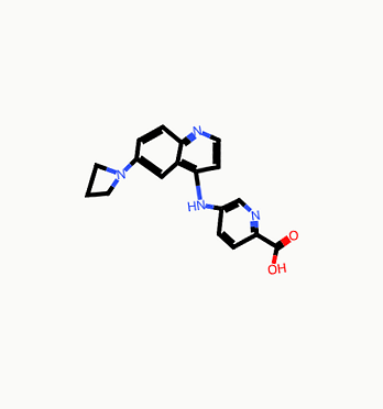 O=C(O)c1ccc(Nc2ccnc3ccc(N4CCC4)cc23)cn1